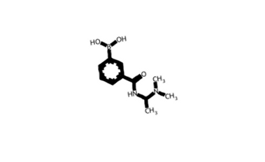 CC(NC(=O)c1cccc(B(O)O)c1)N(C)C